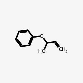 C=CC(O)Oc1ccccc1